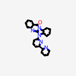 O=c1c2ccccc2nc2n(-c3cccc(-c4ccccn4)n3)c3ccccc3n12